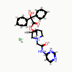 O=C(C[N+]12CCC(CC1)[C@@H](OC(=O)C(O)(c1ccccc1)c1ccccc1)C2)Nc1ccncn1.[Br-]